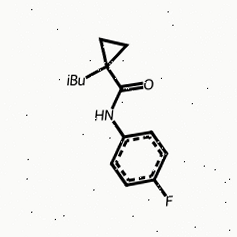 CCC(C)C1(C(=O)Nc2ccc(F)cc2)CC1